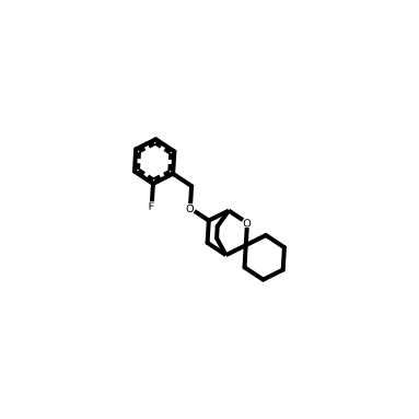 Fc1ccccc1COC1CC2CCC1OC21CCCCC1